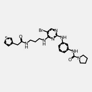 O=C(Cc1ccsc1)NCCCNc1nc(Nc2cccc(NC(=O)N3CCCC3)c2)ncc1Br